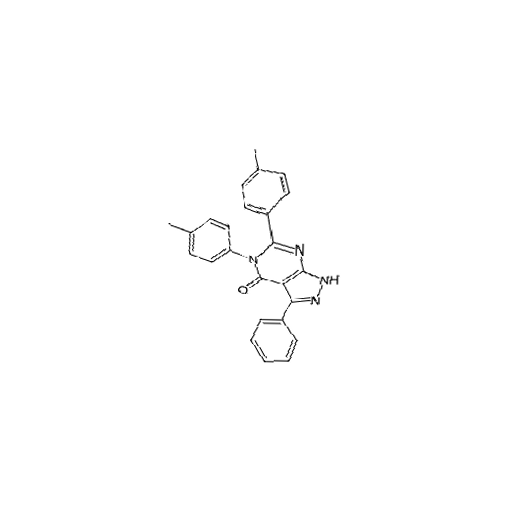 Cc1ccc(-c2nc3[nH]nc(-c4ccccc4)c3c(=O)n2-c2ccc(C)cc2)cc1